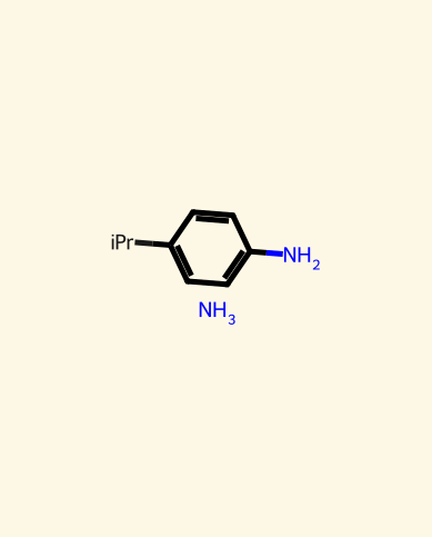 CC(C)c1ccc(N)cc1.N